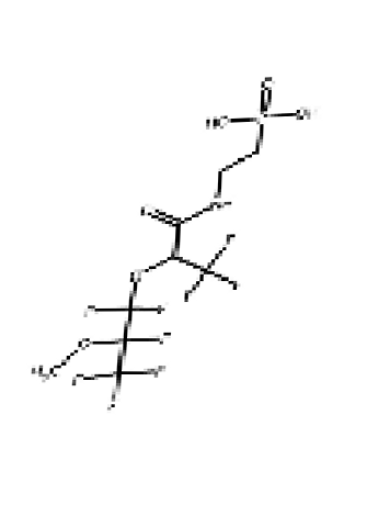 COC(F)(C(F)(F)F)C(F)(F)OC(C(=O)NCCP(=O)(O)O)C(F)(F)F